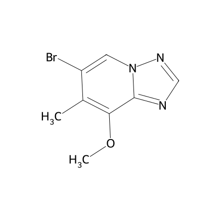 COc1c(C)c(Br)cn2ncnc12